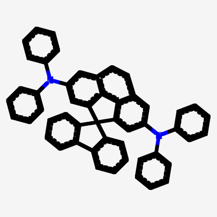 c1ccc(N(c2ccccc2)c2cc3c4c(ccc5cc(N(c6ccccc6)c6ccccc6)cc(c54)C34c3ccccc3-c3ccccc34)c2)cc1